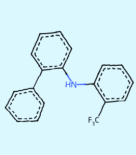 FC(F)(F)c1ccccc1Nc1ccccc1-c1ccccc1